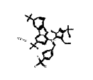 CCC1=[C](/[Zr+2](=[CH]/c2ccc(C(F)(F)F)cc2)[c]2cc(C(C)(C)C)cc3c2Cc2ccc(C(C)(C)C)cc2-3)C(C)C=C1C(C)(C)C.[Cl-].[Cl-]